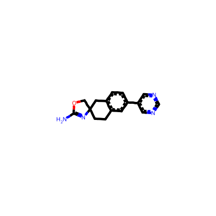 NC1=NC2(CCc3cc(-c4cncnc4)ccc3C2)CO1